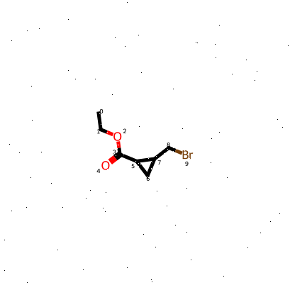 CCOC(=O)C1CC1CBr